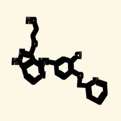 OCCOc1n[nH]c2ccnc(Nc3ccc(OCc4ccccn4)c(Cl)c3)c12